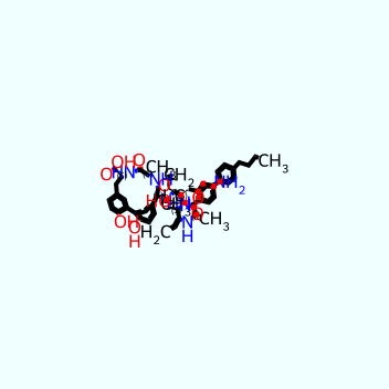 C=C=C(N[C@H](C)C(=O)N[C@@H](CCCCN)C(=C=C)N(C)[C@@H]1C(=O)N[C@@H](C)C(=O)N[C@H](C(=O)O)Cc2ccc(O)c(c2)-c2cc1ccc2O)[C@@H](CO)N(C)C(=O)c1ccc(-c2ccc(CCCC)cc2)cc1